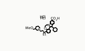 CCN(CCN1CCCC(COC)C1)c1cccc2c1OCCn1c-2c(C2CCCCC2)c2ccc(C(=O)O)cc21.Cl.Cl